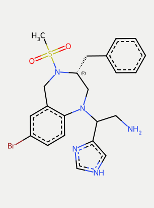 CS(=O)(=O)N1Cc2cc(Br)ccc2N(C(CN)c2c[nH]cn2)C[C@H]1Cc1ccccc1